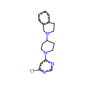 Clc1cc(N2CCC(N3CCc4ccccc4C3)CC2)ncn1